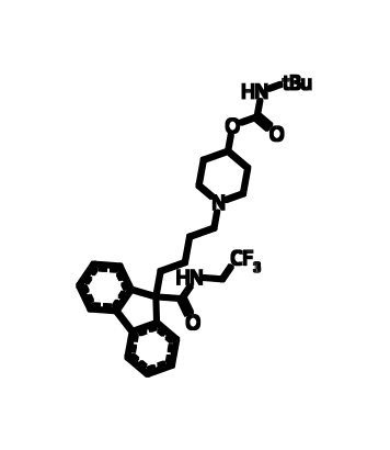 CC(C)(C)NC(=O)OC1CCN(CCCCC2(C(=O)NCC(F)(F)F)c3ccccc3-c3ccccc32)CC1